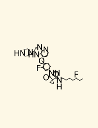 CCC(F)CCCCNC(=O)C1(C(=O)Nc2ccc(Oc3ccnc4c3NC(N3CCNCC3)C=N4)c(F)c2)CC1